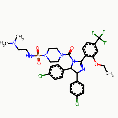 CCOc1cc(C(F)(F)F)ccc1C1=NC(c2ccc(Cl)cc2)C(c2ccc(Cl)cc2)N1C(=O)N1CCN(S(=O)(=O)NCCN(C)C)CC1